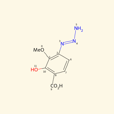 COc1c(N=NN)ccc(C(=O)O)c1O